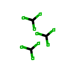 ClC(Cl)Cl.ClC(Cl)Cl.ClC(Cl)Cl